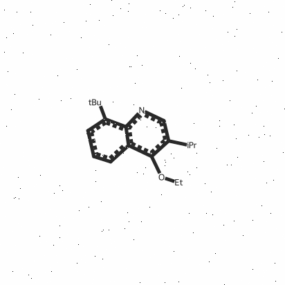 CCOc1c(C(C)C)cnc2c(C(C)(C)C)cccc12